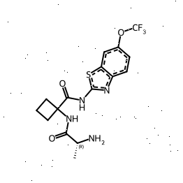 C[C@@H](N)C(=O)NC1(C(=O)Nc2nc3ccc(OC(F)(F)F)cc3s2)CCC1